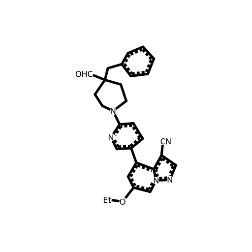 CCOc1cc(-c2ccc(N3CCC(C=O)(Cc4ccccc4)CC3)nc2)c2c(C#N)cnn2c1